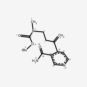 C=C(CCN(C)C(=O)OC(C)(C)C)c1ccncc1C(N)=O